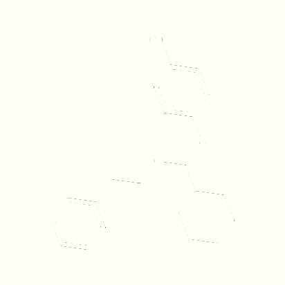 CCC(C)c1ccc(OC(OCCc2ccccc2)C2CCCCC2)cc1